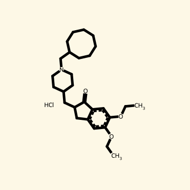 CCOc1cc2c(cc1OCC)C(=O)C(CC1CCN(CC3CCCCCCC3)CC1)C2.Cl